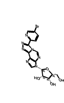 OC[C@H]1O[C@@H](n2cnc3c2ncn2c(-c4ccc(Br)cn4)nnc32)[C@@H](O)[C@H]1O